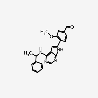 COc1cc(C=O)ccc1-c1cc2c(NC(C)c3ccccc3)ncnc2[nH]1